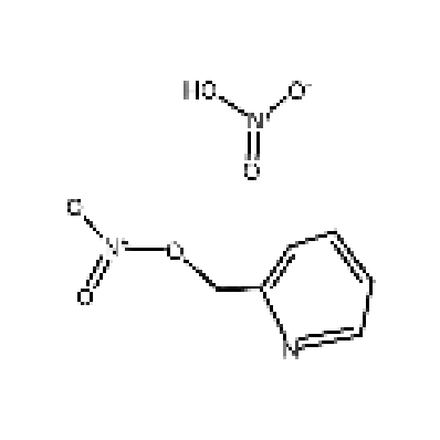 O=[N+]([O-])O.O=[N+]([O-])OCc1ccccn1